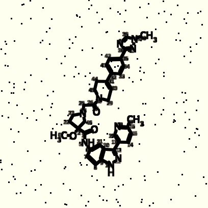 CO[C@@]1(C(=O)Nc2ccc3[nH]nc(-c4ccc(C)nc4)c3c2)CCN(CC(=O)N2CC=C(c3ccc(-c4ncn(C)n4)cc3)CC2)C1